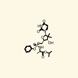 CC(C)OC(=O)[C@@H](C)N[P@@](=O)(OC[C@H]1O[C@@H](n2ccc(=O)[nH]c2=O)C(C)(C)[C@@H]1O)Oc1ccccc1